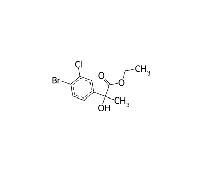 CCOC(=O)C(C)(O)c1ccc(Br)c(Cl)c1